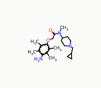 Cc1c(C)c(OCC(=O)N(C)C2CCN(CC3CC3)CC2)c(C)c(C)c1N